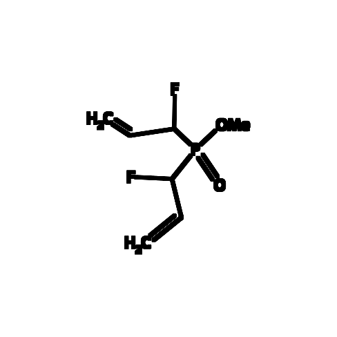 C=CC(F)P(=O)(OC)C(F)C=C